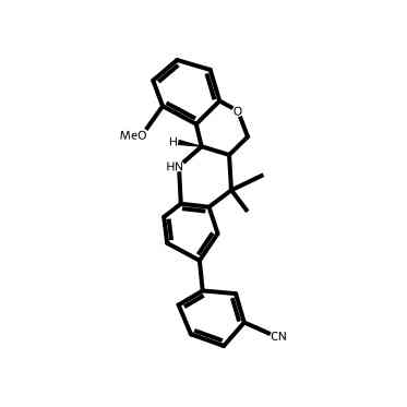 COc1cccc2c1[C@H]1Nc3ccc(-c4cccc(C#N)c4)cc3C(C)(C)C1CO2